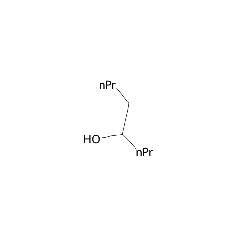 C[CH]CCC(O)CCC